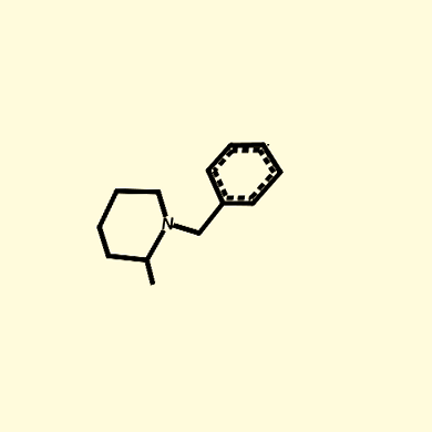 CC1CCCCN1Cc1cc[c]cc1